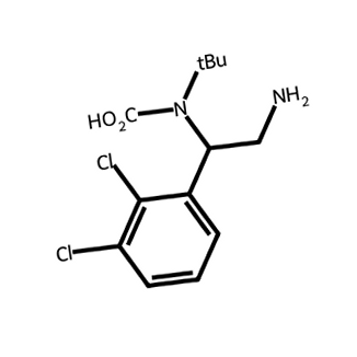 CC(C)(C)N(C(=O)O)C(CN)c1cccc(Cl)c1Cl